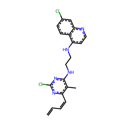 C=C/C=C\c1nc(Cl)nc(NCCNc2ccnc3cc(Cl)ccc23)c1C